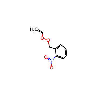 C=COOCc1ccccc1[N+](=O)[O-]